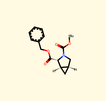 CC(C)(C)OC(=O)N1C[C@H]2C[C@H]2[C@@H]1C(=O)OCc1ccccc1